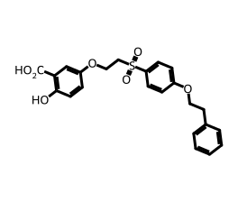 O=C(O)c1cc(OCCS(=O)(=O)c2ccc(OCCc3ccccc3)cc2)ccc1O